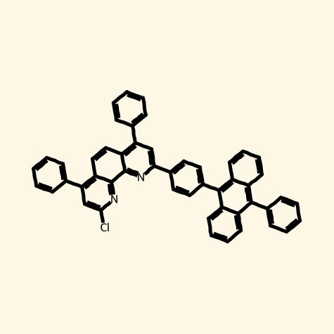 Clc1cc(-c2ccccc2)c2ccc3c(-c4ccccc4)cc(-c4ccc(-c5c6ccccc6c(-c6ccccc6)c6ccccc56)cc4)nc3c2n1